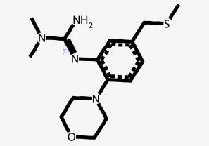 CSCc1ccc(N2CCOCC2)c(/N=C(\N)N(C)C)c1